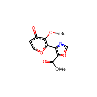 CCCCOc1c(-c2ncoc2C(=O)OC)occc1=O